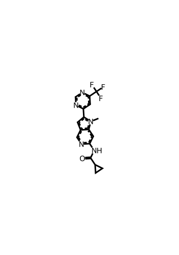 Cn1c(-c2cc(C(F)(F)F)ncn2)cc2cnc(NC(=O)C3CC3)cc21